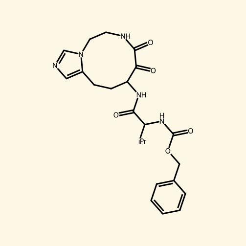 CC(C)C(NC(=O)OCc1ccccc1)C(=O)NC1CCc2cncn2CCNC(=O)C1=O